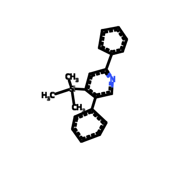 C[Si](C)(C)c1cc(-c2ccccc2)ncc1-c1ccccc1